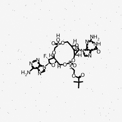 CC(C)(C)C(=O)OCSP1(=O)OC[C@H]2O[C@@H](n3cnc4c(N)ncnc43)[C@H](F)[C@@H]2OCP(=O)(O)OC[C@H]2O[C@@H](n3cnc4c(=O)[nH]c(N)nc43)[C@H](O1)[C@@H]2F